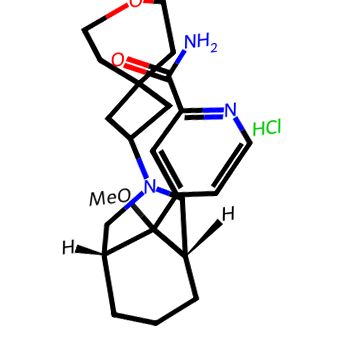 COC1(c2ccnc(C(N)=O)c2)[C@@H]2CCC[C@H]1CN(C1CC3(CCOCC3)C1)C2.Cl